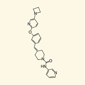 O=C(Nc1cccnc1)N1CCC(=Cc2cccc(Oc3ccc(N4CCC4)cn3)c2)CC1